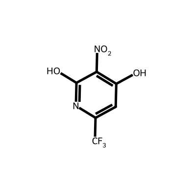 O=[N+]([O-])c1c(O)cc(C(F)(F)F)nc1O